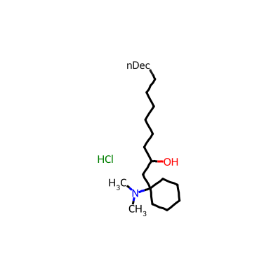 CCCCCCCCCCCCCCCCC(O)CC1(N(C)C)CCCCC1.Cl